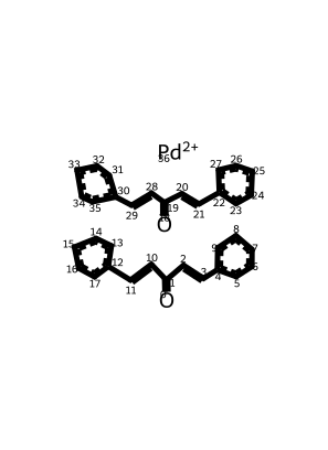 O=C(C=Cc1ccccc1)C=Cc1ccccc1.O=C(C=Cc1ccccc1)C=Cc1ccccc1.[Pd+2]